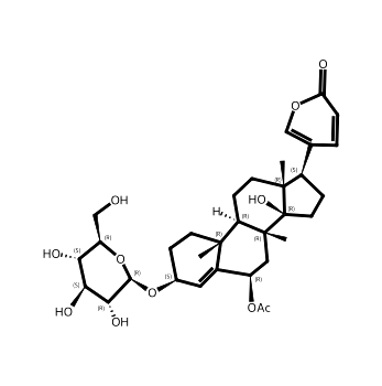 CC(=O)O[C@@H]1C[C@]2(C)[C@H](CC[C@]3(C)[C@@H](c4ccc(=O)oc4)CC[C@@]32O)[C@@]2(C)CC[C@H](O[C@@H]3O[C@H](CO)[C@@H](O)[C@H](O)[C@H]3O)C=C12